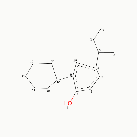 CCC(C)c1ccc(O)c(C2CCCCC2)c1